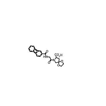 O=C(NCC(=O)N1CC2(CC1C(=O)O)OCCO2)c1ccc2c(c1)=c1ccccc1=2